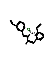 C=Cc1cccc(C=C(C)C(=Cc2cccc(C=C)c2)[SiH2]Cl)c1